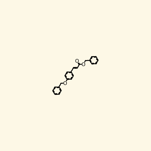 O=C(C=Cc1ccc(OCc2ccccc2)cc1)OCc1ccccc1